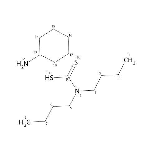 CCCCN(CCCC)C(=S)S.NC1CCCCC1